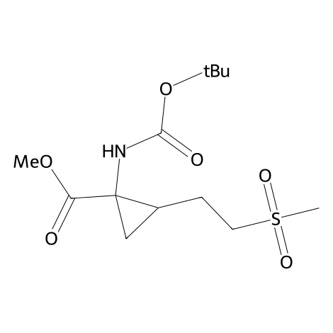 COC(=O)C1(NC(=O)OC(C)(C)C)CC1CCS(C)(=O)=O